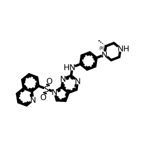 C[C@@H]1CNCCN1c1ccc(Nc2ncc3ccn(S(=O)(=O)c4cccc5cccnc45)c3n2)cc1